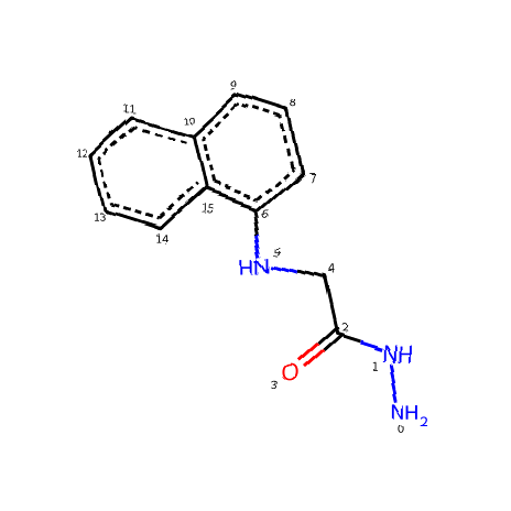 NNC(=O)CNc1cccc2ccccc12